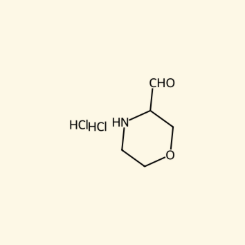 Cl.Cl.O=CC1COCCN1